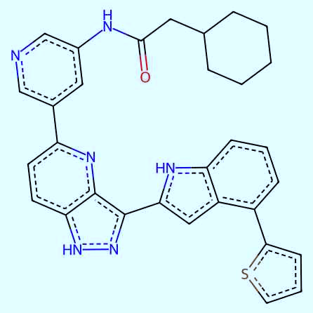 O=C(CC1CCCCC1)Nc1cncc(-c2ccc3[nH]nc(-c4cc5c(-c6cccs6)cccc5[nH]4)c3n2)c1